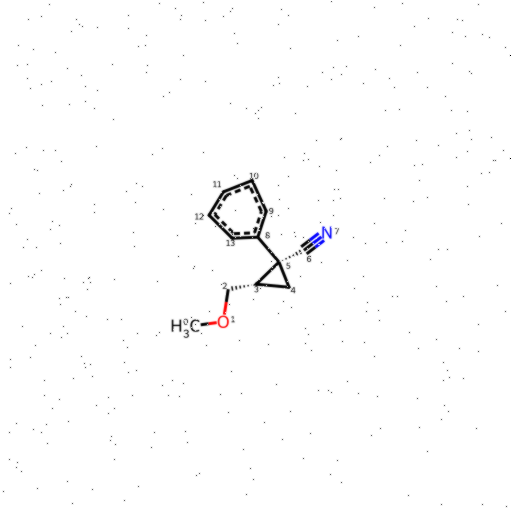 COC[C@H]1C[C@]1(C#N)c1ccccc1